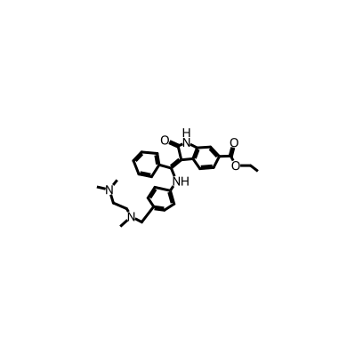 CCOC(=O)c1ccc2c(c1)NC(=O)C2=C(Nc1ccc(CN(C)CCN(C)C)cc1)c1ccccc1